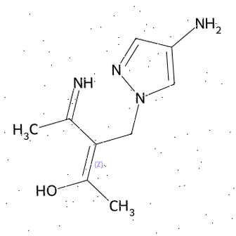 CC(=N)/C(Cn1cc(N)cn1)=C(/C)O